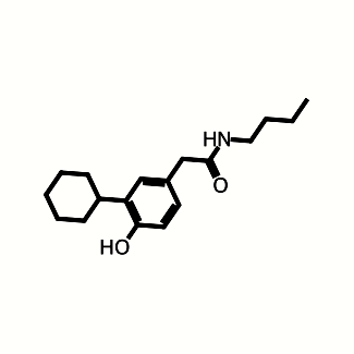 CCCCNC(=O)Cc1ccc(O)c(C2CCCCC2)c1